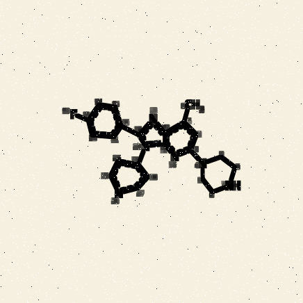 Cc1cc(N2CCNCC2)nc2c1nc(-c1ccc(F)cc1)n2-c1ccncc1